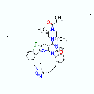 C=CC(=O)N1C[C@H](C)N(c2nc(=O)n3c4nc(c(F)cc24)-c2c(F)cccc2Cn2cc(nn2)CCCc2cccc(C(C)C)c2-3)C[C@H]1C